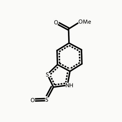 COC(=O)c1ccc2[nH]c(=S=O)sc2c1